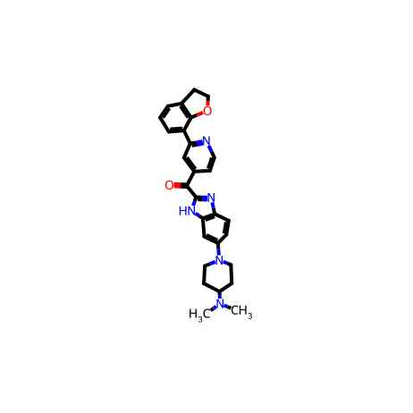 CN(C)C1CCN(c2ccc3nc(C(=O)c4ccnc(-c5cccc6c5OCC6)c4)[nH]c3c2)CC1